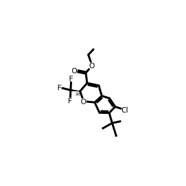 CCOC(=O)C1=Cc2cc(Cl)c(C(C)(C)C)cc2O[C@H]1C(F)(F)F